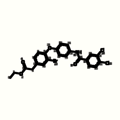 CCOC(=O)Cc1ccc(Oc2ccc(NC(=O)c3ccc(Cl)c(Cl)c3)cc2)c(Br)c1